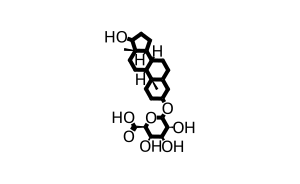 C[C@]12CCC(OC3O[C@H](C(=O)O)[C@@H](O)[C@H](O)[C@H]3O)CC1CC[C@@H]1[C@@H]2CC[C@]2(C)C(O)CC[C@@H]12